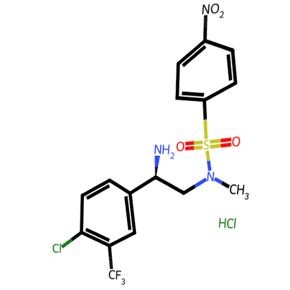 CN(C[C@H](N)c1ccc(Cl)c(C(F)(F)F)c1)S(=O)(=O)c1ccc([N+](=O)[O-])cc1.Cl